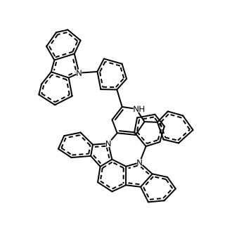 C1=C(c2cccc(-n3c4ccccc4c4ccccc43)c2)NC(c2ccccc2)C=C1n1c2ccccc2c2ccc3c4ccccc4n(-c4ccccc4)c3c21